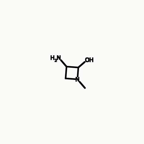 CN1CC(N)C1O